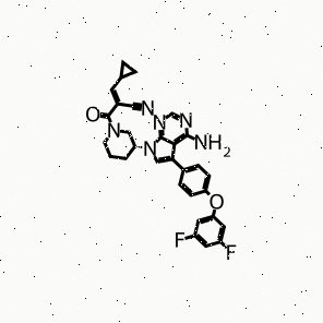 N#CC(=CC1CC1)C(=O)N1CCC[C@@H](n2cc(-c3ccc(Oc4cc(F)cc(F)c4)cc3)c3c(N)ncnc32)C1